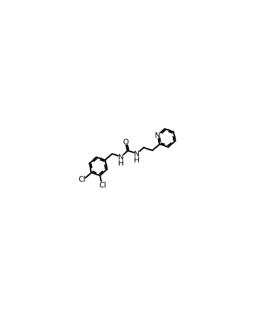 O=C(NCCc1ccccn1)NCc1ccc(Cl)c(Cl)c1